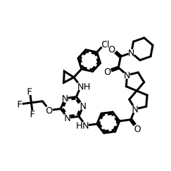 O=C(C(=O)N1CCC2(CCN(C(=O)c3ccc(Nc4nc(NC5(c6ccc(Cl)cc6)CC5)nc(OCC(F)(F)F)n4)cc3)C2)C1)N1CCCCC1